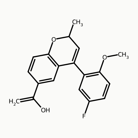 C=C(O)c1ccc2c(c1)C(c1cc(F)ccc1OC)=CC(C)O2